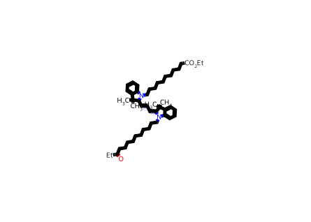 CCOC(=O)CCCCCCCCCCN1c2ccccc2C(C)(C)C1/C=C/C=C1/N(CCCCCCCCCCC(=O)CC)c2ccccc2C1(C)C